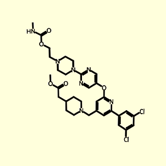 CNC(=O)OCCN1CCN(c2ncc(Oc3cc(CN4CCC(CC(=O)OC)CC4)cc(-c4cc(Cl)cc(Cl)c4)n3)cn2)CC1